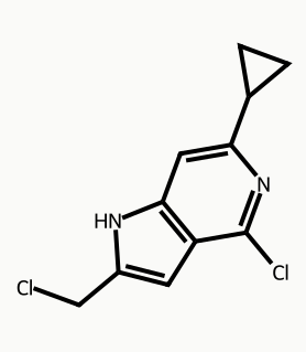 ClCc1cc2c(Cl)nc(C3CC3)cc2[nH]1